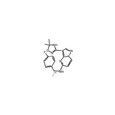 C[C@@H](Nc1ccn2ncc(C3=NOC(C)(C)N3)c2n1)c1ccc(F)cc1